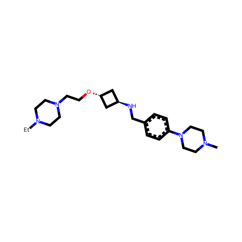 CCN1CCN(CCO[C@H]2C[C@H](NCc3ccc(N4CCN(C)CC4)cc3)C2)CC1